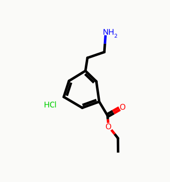 CCOC(=O)c1cccc(CCN)c1.Cl